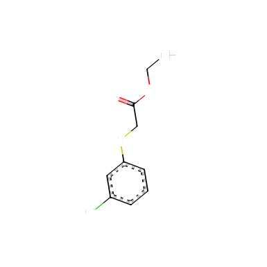 CCOC(=O)CSc1cccc(Cl)c1